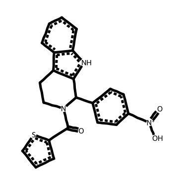 O=C(c1cccs1)N1CCc2c([nH]c3ccccc23)C1c1ccc([N+](=O)O)cc1